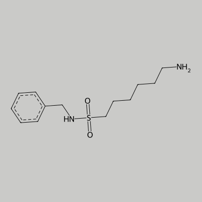 NCCCCCCS(=O)(=O)NCc1ccccc1